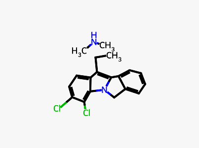 CCc1c2n(c3c(Cl)c(Cl)ccc13)Cc1ccccc1-2.CNC